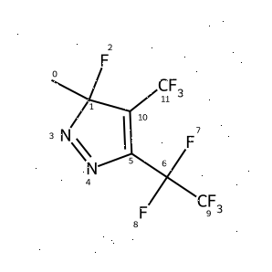 CC1(F)N=NC(C(F)(F)C(F)(F)F)=C1C(F)(F)F